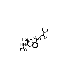 CCC(=O)N[C@H]1Cc2cccc(C(=O)OCC(=O)N(CC)CC)c2OB1O